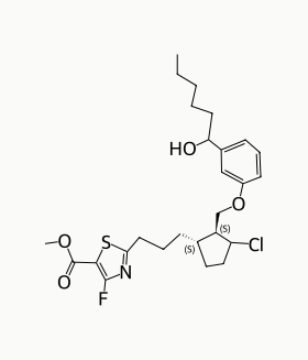 CCCCCC(O)c1cccc(OC[C@H]2C(Cl)CC[C@@H]2CCCc2nc(F)c(C(=O)OC)s2)c1